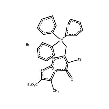 CCOC(=O)c1sc2nc(C[P+](c3ccccc3)(c3ccccc3)c3ccccc3)c(CC)c(=O)n2c1C.[Br-]